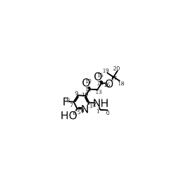 CCNc1nc(O)c(F)cc1C(=O)CC(=O)OC(C)(C)C